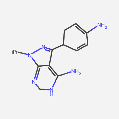 CC(C)n1nc(C2C=CC(N)=CC2)c2c1=NCNC=2N